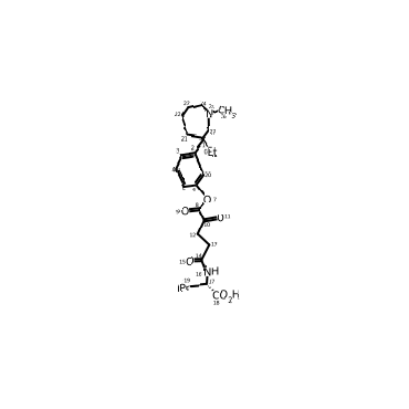 CCC1(c2cccc(OC(=O)C(=O)CCC(=O)N[C@H](C(=O)O)C(C)C)c2)CCCCN(C)C1